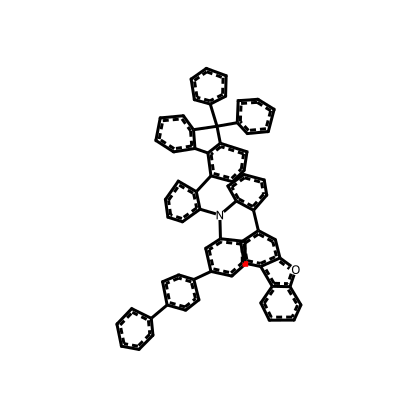 c1ccc(-c2ccc(-c3cccc(N(c4ccccc4-c4ccc5c(c4)oc4ccccc45)c4ccccc4-c4cccc5c4-c4ccccc4C5(c4ccccc4)c4ccccc4)c3)cc2)cc1